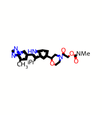 CNC(=O)OCC(=O)N1CCOC(c2ccc3[nH]c(-c4cc(C)c5ncnn5c4)c(C(C)C)c3c2)C1